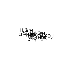 CC(C)C1=C2[C@H]3CC[C@@H]4[C@@]5(C)CC[C@H](OC(=O)CC(C)(C)C(=O)O)C(C)(C)C5CC[C@@]4(C)[C@]3(C)CC[C@@]2([C@@H](O)CN(CCN(C)C)Cc2cccc(Cl)c2F)CC1=O